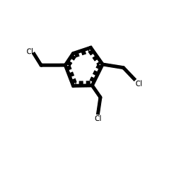 ClCc1ccc(CCl)c(CCl)c1